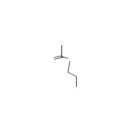 NC(=O)OCC[SiH3]